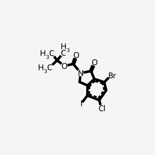 CC(C)(C)OC(=O)N1Cc2c(I)c(Cl)cc(Br)c2C1=O